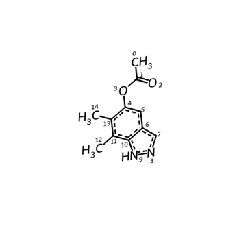 CC(=O)Oc1cc2cn[nH]c2c(C)c1C